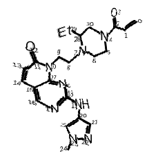 C=CC(=O)N1CCN(CCn2c(=O)ccc3cnc(Nc4cnn(C)c4)nc32)C(CC)C1